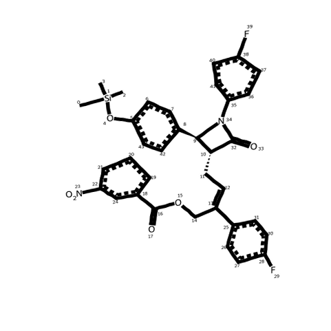 C[Si](C)(C)Oc1ccc([C@@H]2[C@@H](C/C=C(\COC(=O)c3cccc([N+](=O)[O-])c3)c3ccc(F)cc3)C(=O)N2c2ccc(F)cc2)cc1